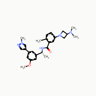 COc1cc(-c2cnn(C)c2)cc([C@@H](C)NC(=O)c2cc(N3CC(N(C)C)C3)ccc2C)c1